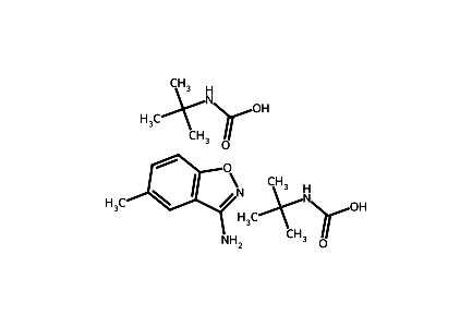 CC(C)(C)NC(=O)O.CC(C)(C)NC(=O)O.Cc1ccc2onc(N)c2c1